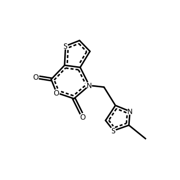 Cc1nc(Cn2c(=O)oc(=O)c3sccc32)cs1